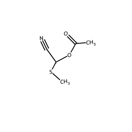 CS[C](C#N)OC(C)=O